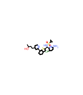 CC(O)CCc1ccnc(-c2cccc3cc(C(NS(=O)(=O)C4CC4)c4nc(N)ccc4Cl)sc23)c1